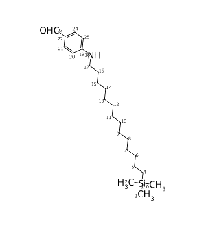 C[Si](C)(C)CCCCCCCCCCCCCCNc1ccc(C=O)cc1